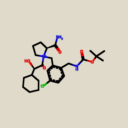 CC(C)(C)OC(=O)NCc1ccc(Cl)cc1C[N+]1(C(=O)[C@H](O)C2CCCCC2)CCC[C@H]1C(N)=O